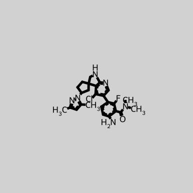 Cc1cc(C)n(C2CCC3(CNc4ncc(-c5ccc(N)c(C(=O)N(C)C)c5F)c(Cl)c43)C2)n1